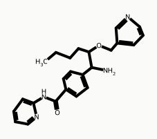 CCCCC(OCc1cccnc1)C(N)c1ccc(C(=O)Nc2ccccn2)cc1